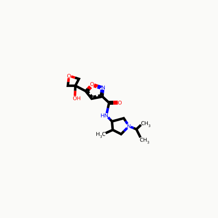 CC1CN(C(C)C)CC1NC(=O)c1cc(C2(O)COC2)on1